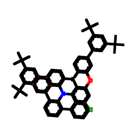 CC(C)(C)c1cc(-c2ccc3c(c2)Oc2cc(Cl)cc4c2B3c2ccc(-c3cc(C(C)(C)C)cc(C(C)(C)C)c3)cc2N4c2c(-c3ccccc3)cccc2-c2ccccc2)cc(C(C)(C)C)c1